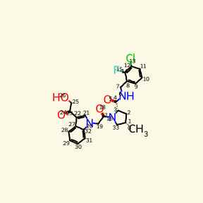 C[C@H]1C[C@@H](C(=O)NCc2cccc(Cl)c2F)N(C(=O)Cn2cc(C(=O)CO)c3ccccc32)C1